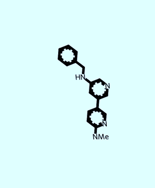 CNc1ccc(-c2cncc(NCc3ccccc3)c2)cn1